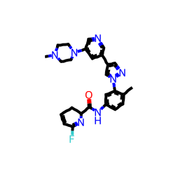 Cc1ccc(NC(=O)C2CC=CC(F)=N2)cc1-n1cc(-c2cncc(N3CCN(C)CC3)c2)cn1